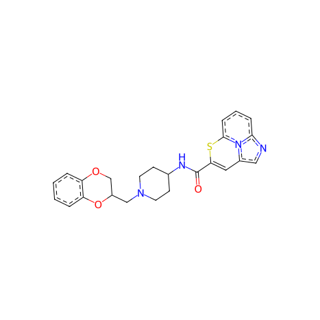 O=C(NC1CCN(CC2COc3ccccc3O2)CC1)C1=Cc2cnc3cccc(n23)S1